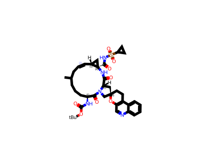 CC1C/C=C\[C@@H]2C[C@@]2(C(=O)NS(=O)(=O)C2CC2)NC(=O)[C@@H]2C[C@]3(CCc4c(cnc5ccccc45)O3)CN2C(=O)[C@@H](NC(=O)OC(C)(C)C)CCC1